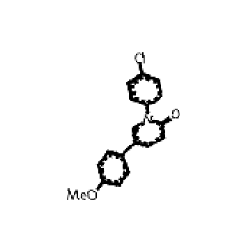 COc1ccc(-c2ccc(=O)n(-c3ccc(Cl)cc3)c2)cc1